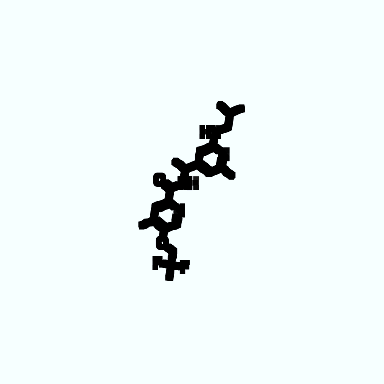 Cc1cc(C(C)NC(=O)c2cc(C)c(OCC(C)(F)F)cn2)cc(NCC(C)C)n1